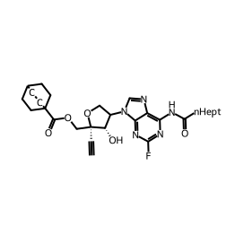 C#C[C@]1(COC(=O)C23CCC(CC2)CC3)OCC(n2cnc3c(NC(=O)CCCCCCC)nc(F)nc32)[C@@H]1O